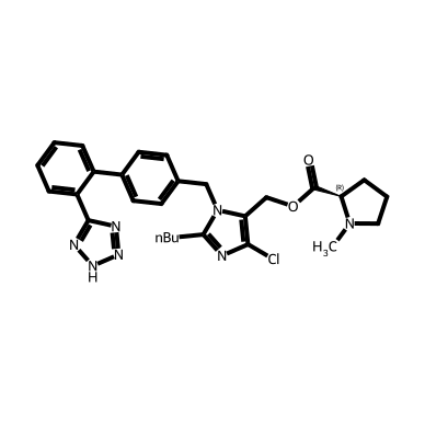 CCCCc1nc(Cl)c(COC(=O)[C@H]2CCCN2C)n1Cc1ccc(-c2ccccc2-c2nn[nH]n2)cc1